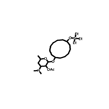 CC[Si](CC)(CC)OC1CCCCCCC(OC2OC(C)CC(N(C)C)C2OC(C)=O)CCCCC1